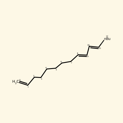 C=CCCCCCCC=CC=CCCCC